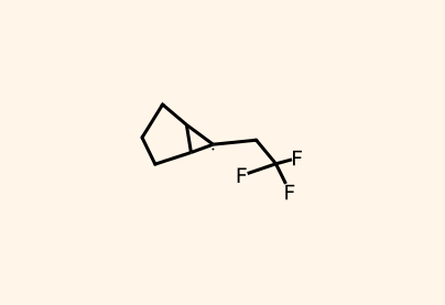 FC(F)(F)C[C]1C2CCCC12